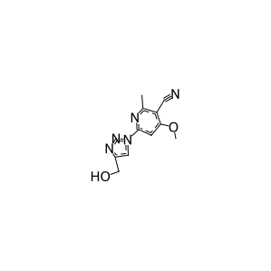 COc1cc(-n2cc(CO)nn2)nc(C)c1C#N